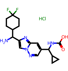 Cl.NC(c1cn2ncc(C(NC(=O)O)C3CC3)cc2n1)C1CCC(F)(F)CC1